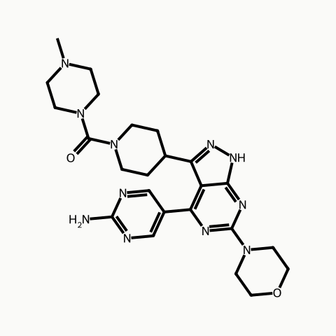 CN1CCN(C(=O)N2CCC(c3n[nH]c4nc(N5CCOCC5)nc(-c5cnc(N)nc5)c34)CC2)CC1